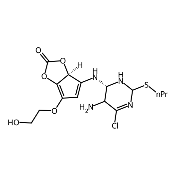 CCCSC1N=C(Cl)C(N)[C@H](NC2=CC(OCCO)=C3OC(=O)O[C@@H]23)N1